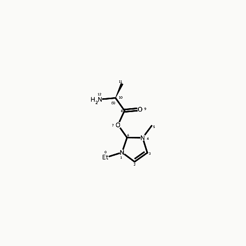 CCN1C=CN(C)C1OC(=O)[C@H](C)N